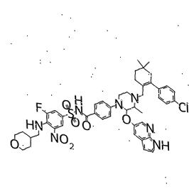 CC1C(Oc2cnc3[nH]ccc3c2)N(c2ccc(C(=O)NS(=O)(=O)c3cc(F)c(NCC4CCOCC4)c([N+](=O)[O-])c3)cc2)CCN1CC1=C(c2ccc(Cl)cc2)CC(C)(C)CC1